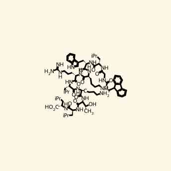 CC(C)C[C@H](NC(=O)[C@H](CC(C)C)NC(=O)[C@@H](NC(=O)[C@H](CCCCN)NC(=O)[C@H](CC(C)C)NC(=O)[C@H](CCCNC(=N)N)NC(=O)[C@H](CCCCN)NC(=O)[C@H](Cc1c[nH]c2ccccc12)NC(=O)[C@H](CC(C)C)NC(=O)CNC(=O)OCC1c2ccccc2-c2ccccc21)[C@@H](C)O)C(=O)O